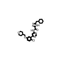 O=C(Nc1cc(-c2cc(OCC3CCOCC3)ccc2Cl)ncn1)c1nnc(CC2CCCCC2)[nH]1